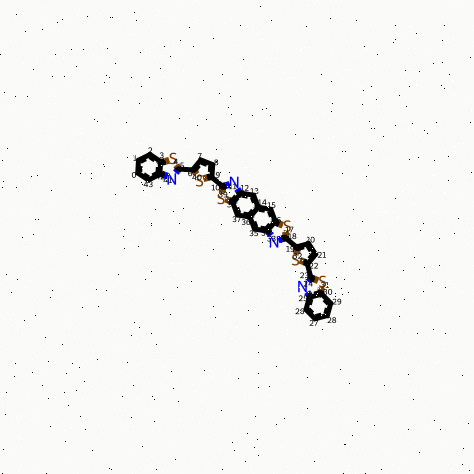 c1ccc2sc(-c3ccc(-c4nc5cc6cc7sc(-c8ccc(-c9nc%10ccccc%10s9)s8)nc7cc6cc5s4)s3)nc2c1